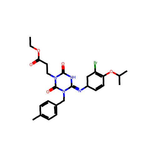 CCOC(=O)CCn1c(=O)[nH]/c(=N\C2C=CC(OC(C)C)=C(Br)C2)n(Cc2ccc(C)cc2)c1=O